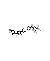 CC(C)(C)OC(=O)N[C@H]1CC[C@H](N2CCC(c3ccc(NC4CCC(=O)NC4=O)cc3F)CC2)CC1